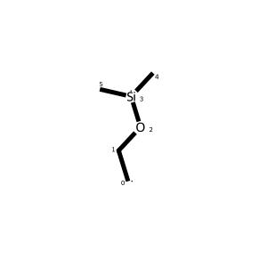 [CH2]CO[Si](C)C